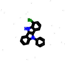 Brc1cccc2c1[nH]c1c3ccccc3n(-c3ccccc3)c21